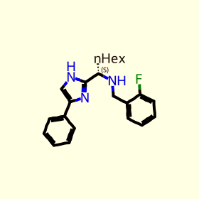 CCCCCC[C@H](NCc1ccccc1F)c1nc(-c2ccccc2)c[nH]1